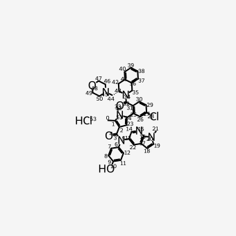 Cc1c(C(=O)N(c2ccc(O)cc2)c2cnc3c(ccn3C)c2)cc(-c2cc(Cl)ccc2C(=O)N2Cc3ccccc3C[C@H]2CN2CCOCC2)n1C.Cl